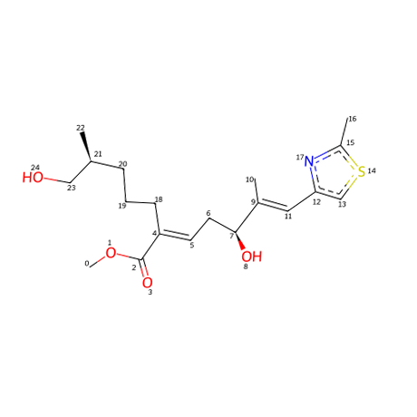 COC(=O)/C(=C/C[C@H](O)/C(C)=C/c1csc(C)n1)CCC[C@H](C)CO